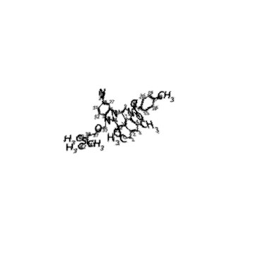 CCc1cc(C)c2c(ccn2S(=O)(=O)c2ccc(C)cc2)c1C(=O)c1nc2cc(C#N)ccc2n1COCC[Si](C)(C)C